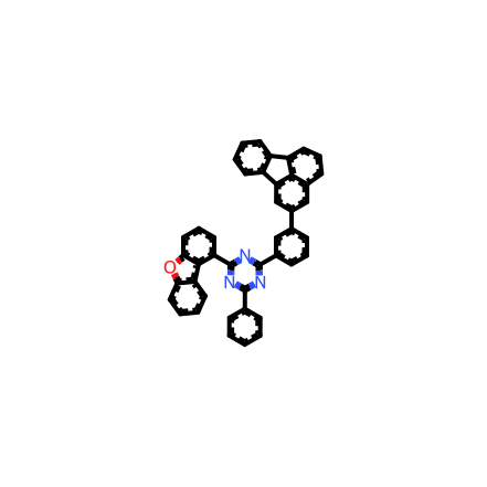 c1ccc(-c2nc(-c3cccc(-c4cc5c6c(cccc6c4)-c4ccccc4-5)c3)nc(-c3cccc4oc5ccccc5c34)n2)cc1